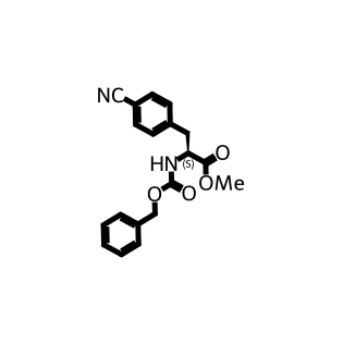 COC(=O)[C@H](Cc1ccc(C#N)cc1)NC(=O)OCc1ccccc1